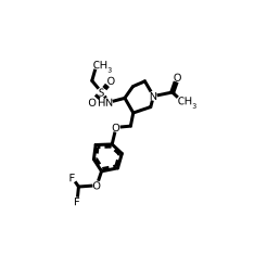 CCS(=O)(=O)NC1CCN(C(C)=O)CC1COc1ccc(OC(F)F)cc1